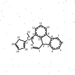 C=CC1c2ccccc2-c2ccc[c]([Ge]([CH3])([CH3])[C]3=CC=CC3)c21